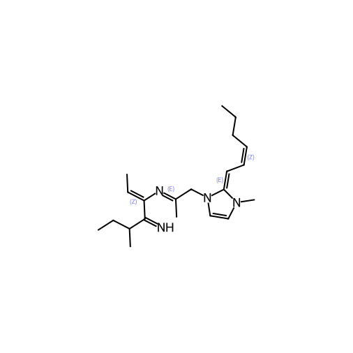 C/C=C(\N=C(/C)CN1C=CN(C)/C1=C\C=C/CCC)C(=N)C(C)CC